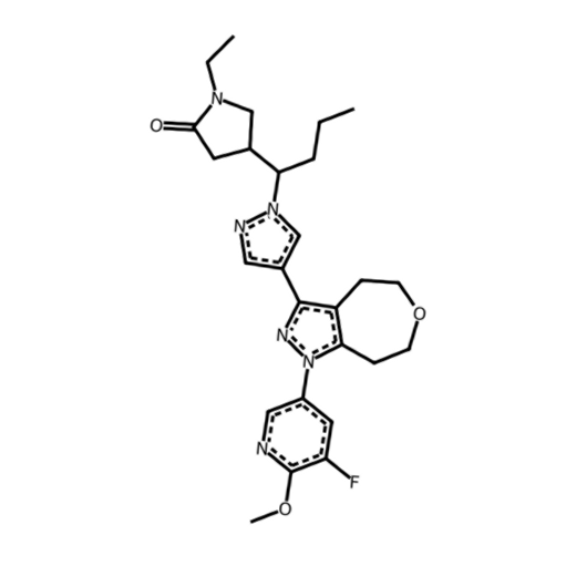 CCCC(C1CC(=O)N(CC)C1)n1cc(-c2nn(-c3cnc(OC)c(F)c3)c3c2CCOCC3)cn1